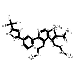 COCCc1c(-c2cc(-c3noc(C(F)(F)F)n3)ccn2)ncc2c1c(CCOC)c(C(N)=O)n2C